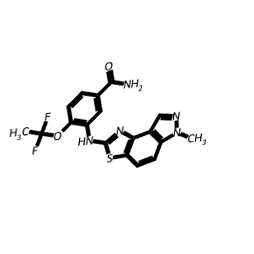 Cn1ncc2c3nc(Nc4cc(C(N)=O)ccc4OC(C)(F)F)sc3ccc21